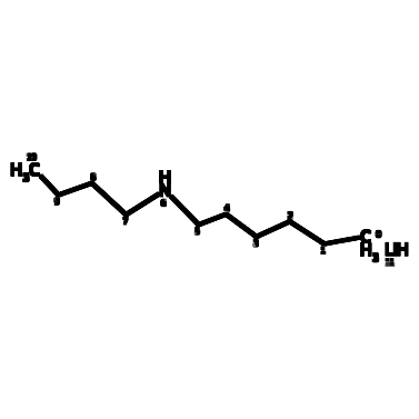 CCCCCCNCCCC.[LiH]